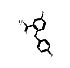 NC(=O)c1cc(F)ccc1[CH]c1ccc(F)cc1